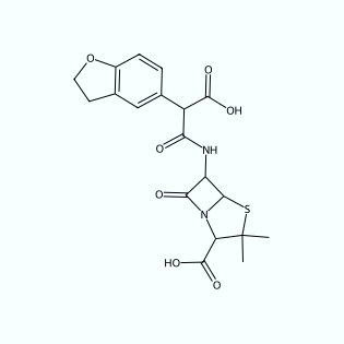 CC1(C)SC2C(NC(=O)C(C(=O)O)c3ccc4c(c3)CCO4)C(=O)N2C1C(=O)O